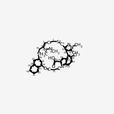 C=NN(C)/C1=C\CCSCc2nn(C)c(C)c2-c2c(Cl)ccc3c2cc(C(=O)O)n3CCCOc2cc(cc3ccccc23)SC1